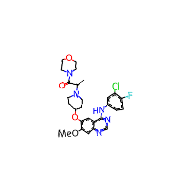 COc1cc2ncnc(Nc3ccc(F)c(Cl)c3)c2cc1OC1CCN(C(C)C(=O)N2CCOCC2)CC1